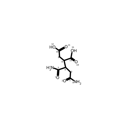 NC(=O)CC(C(N)=O)C(CC(=O)O)C(=O)O